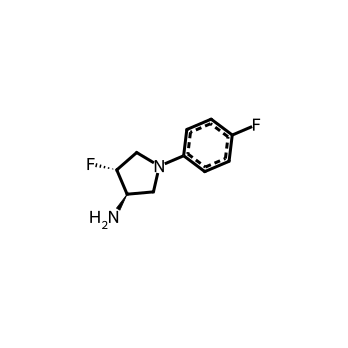 N[C@@H]1CN(c2ccc(F)cc2)C[C@H]1F